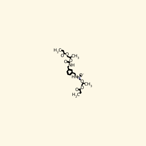 C=CC(=O)OCC(C)O/C=[N+](\[O-])NCc1cccc(CNC(=O)OC(C)COC(=O)C=C)c1